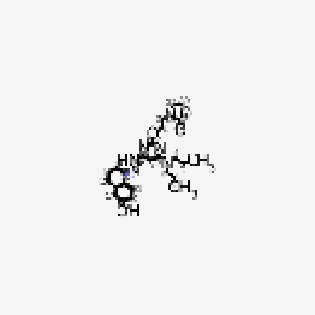 CCCN(CCC)c1cc(N/N=C2\CCCc3cc(O)ccc32)nc(OCCN2CCOC2=O)n1